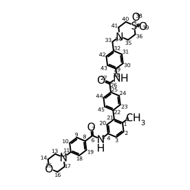 Cc1ccc(NC(=O)c2ccc(N3CCOCC3)cc2)cc1-c1ccc(C(=O)Nc2ccc(CN3CCS(=O)(=O)CC3)cc2)cc1